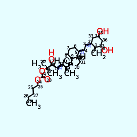 C=C1/C(=C\C=C2/CCC[C@]3(C)[C@@H]([C@H](C)/C=C/[C@@H](O)C(C)(C)OC(=O)OCCCCC)CC[C@@H]23)CC(O)CC1O